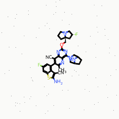 Cc1nc2c(N3CC4CCC(C3)N4)nc(OC[C@@]34CCCN3C[C@H](F)C4)nc2c(C#N)c1-c1cc(F)cc2sc(N)c(C#N)c12